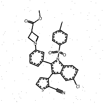 COC(=O)C1CN(c2cccc(-c3c(-c4ccsc4C#N)c4cc(Cl)ccc4n3S(=O)(=O)c3ccc(C)cc3)c2)C1